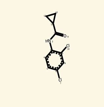 O=C(Nc1ccc(Cl)cc1Cl)C1CC1